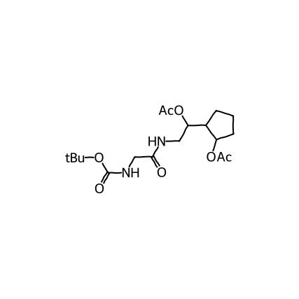 CC(=O)OC1CCCC1C(CNC(=O)CNC(=O)OC(C)(C)C)OC(C)=O